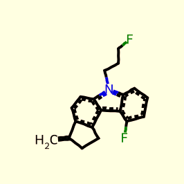 C=C1CCc2c1ccc1c2c2c(F)cccc2n1CCCF